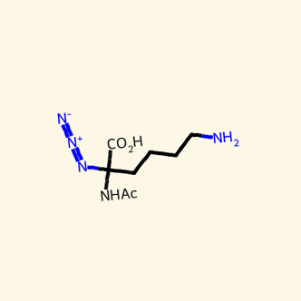 CC(=O)NC(CCCCN)(N=[N+]=[N-])C(=O)O